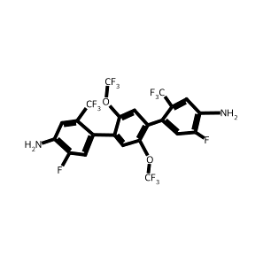 Nc1cc(C(F)(F)F)c(-c2cc(OC(F)(F)F)c(-c3cc(F)c(N)cc3C(F)(F)F)cc2OC(F)(F)F)cc1F